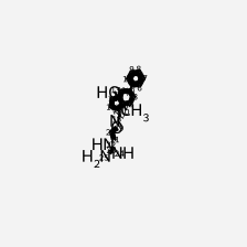 C[C@]12CC[C@H](c3ccccc3)C[C@@]1(O)CC[C@@H]2C=NOCCNC(=N)N